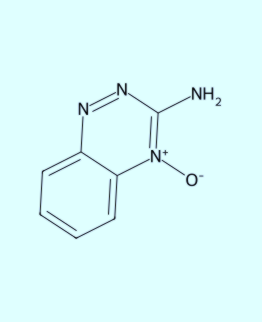 Nc1nnc2ccccc2[n+]1[O-]